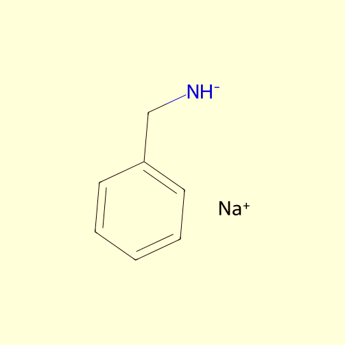 [NH-]Cc1ccccc1.[Na+]